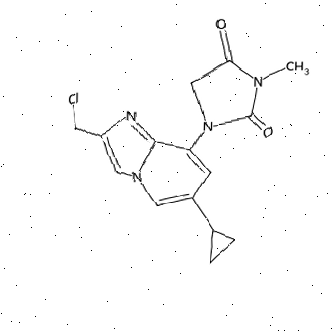 CN1C(=O)CN(c2cc(C3CC3)cn3cc(CCl)nc23)C1=O